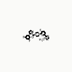 Cn1ncnc1-c1ccc(F)c(N2CCN(C(=O)N3N=CC[C@H]3c3cc(F)cc(F)c3)CC2)n1